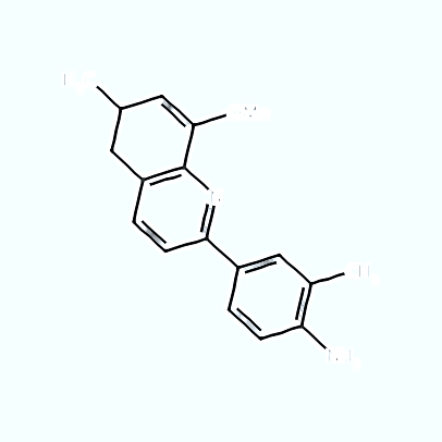 COC1=CC(C)Cc2ccc(-c3ccc(N)c(C)c3)nc21